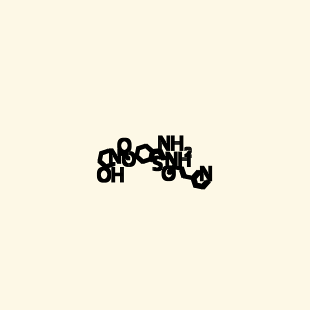 Nc1c(NC(=O)/C=C/c2cccnc2)sc2c1CCC(OC(=O)N1CCCC(O)C1)C2